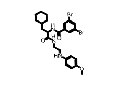 COc1ccc(NCCNC(=O)C(CC2CCCCC2)NC(=O)c2cc(Br)cc(Br)c2)cc1